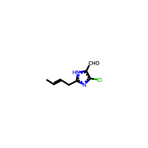 CC=CCc1nc(Cl)c(C=O)[nH]1